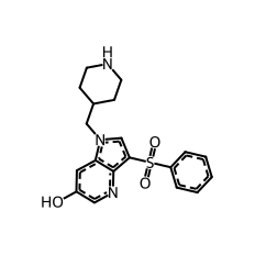 O=S(=O)(c1ccccc1)c1cn(CC2CCNCC2)c2cc(O)cnc12